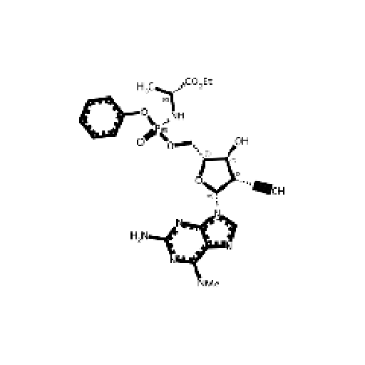 C#C[C@H]1[C@H](O)[C@@H](CO[P@](=O)(N[C@H](C)C(=O)OCC)Oc2ccccc2)O[C@H]1n1cnc2c(NC)nc(N)nc21